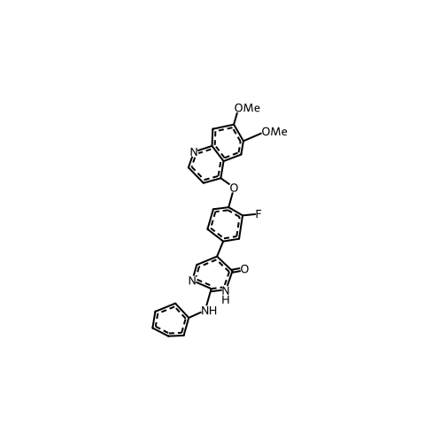 COc1cc2nccc(Oc3ccc(-c4cnc(Nc5ccccc5)[nH]c4=O)cc3F)c2cc1OC